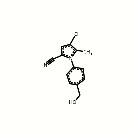 Cc1c(Cl)cc(C#N)n1-c1ccc(CO)cc1